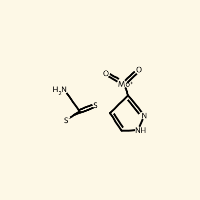 NC(=S)[S-].[O]=[Mo+](=[O])[c]1cc[nH]n1